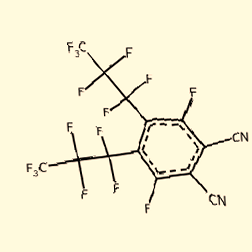 N#Cc1c(F)c(C(F)(F)C(F)(F)C(F)(F)F)c(C(F)(F)C(F)(F)C(F)(F)F)c(F)c1C#N